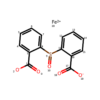 O=C([O-])c1ccccc1S(=O)c1ccccc1C(=O)[O-].[Fe+2]